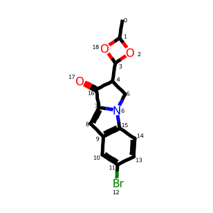 CC1OC(C2Cn3c(cc4cc(Br)ccc43)C2=O)O1